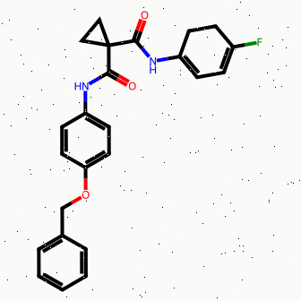 O=C(NC1=CC=C(F)CC1)C1(C(=O)Nc2ccc(OCc3ccccc3)cc2)CC1